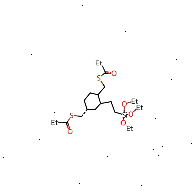 CCO[Si](CCC1CC(CSC(=O)CC)CCC1CSC(=O)CC)(OCC)OCC